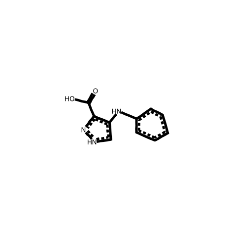 O=C(O)c1n[nH]cc1Nc1ccccc1